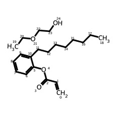 C=CC(=O)Oc1ccccc1CCCCCCCC.CCOCCO